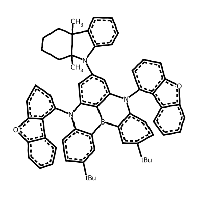 CC(C)(C)c1ccc2c(c1)B1c3cc(C(C)(C)C)ccc3N(c3cccc4oc5ccccc5c34)c3cc(N4c5ccccc5C5(C)CCCCC45C)cc(c31)N2c1cccc2oc3ccccc3c12